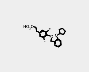 O=C(O)CCc1cc(F)c(OCc2ccccc2OC2CCCC2)c(F)c1